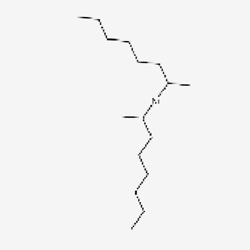 CCCCCC[CH](C)[Ni][CH](C)CCCCCC